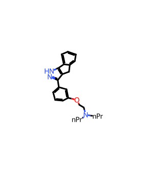 CCCN(CCC)CCOc1cccc(-c2n[nH]c3c2Cc2ccccc2-3)c1